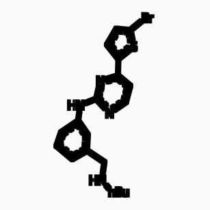 CCCCNCc1cccc(Nc2nccc(-c3ccc(Br)s3)n2)c1